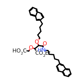 CCOC(=O)C(OCC(=O)O)C(OCCCCCc1ccc2ccccc2c1)C(=O)NCCCCCc1ccc2ccccc2c1